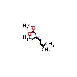 C=C/C(=C\C=C(C)C)CC(=O)OC